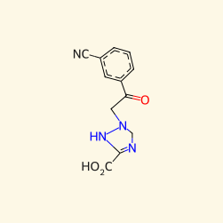 N#Cc1cccc(C(=O)CN2CN=C(C(=O)O)N2)c1